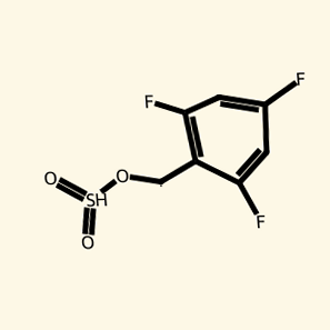 O=[SH](=O)O[CH]c1c(F)cc(F)cc1F